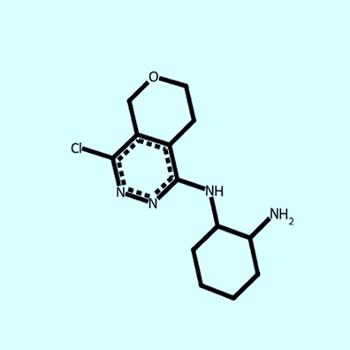 NC1CCCCC1Nc1nnc(Cl)c2c1CCOC2